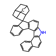 c1ccc2c(c1)-c1c(ccc3[nH]c4ccc5ccccc5c4c13)C21C2CC3CC4CC1C42C3